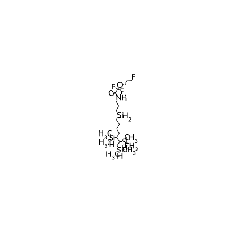 C[SiH](C)CC(C(CCCC[SiH2]CCCNC(=O)C(F)(F)OCCCF)[SiH](C)C)[SiH](C)C